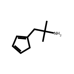 CC(C)(N)CC1=CC=CC1